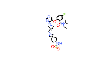 CCN(C(=O)c1cc(F)ccc1Oc1cncnc1N1CC[C@@H](CN2CC3(CCC(N[SH](=O)=O)CC3)C2)C1)C(C)C